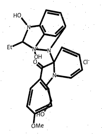 CCC1N(O)c2ccc3cc2[N+]1(O)N3C1(C(=O)c2ccc(OC)cc2)C=CC=CN1CCO.[Cl-]